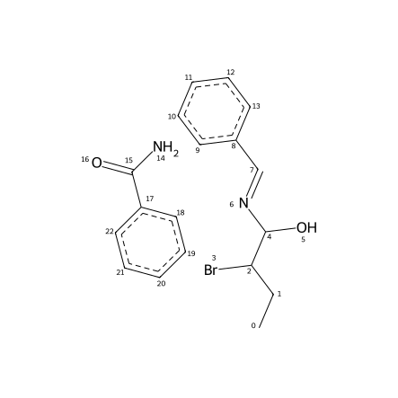 CCC(Br)C(O)N=Cc1ccccc1.NC(=O)c1ccccc1